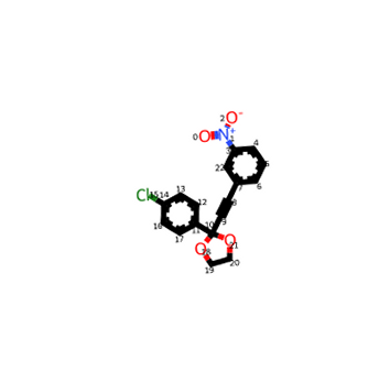 O=[N+]([O-])c1cccc(C#CC2(c3ccc(Cl)cc3)OCCO2)c1